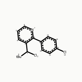 CC(C)(C)C(Cl)c1cccnc1-c1ccc(Cl)cc1